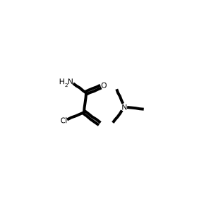 C=C(Cl)C(N)=O.CN(C)C